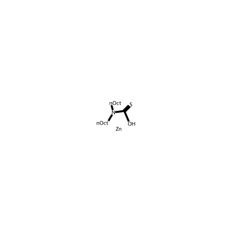 CCCCCCCCN(CCCCCCCC)C(O)=S.[Zn]